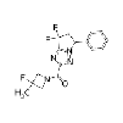 CC1(F)CN(C(=O)c2nc3n(n2)C(c2ccccc2)CC3(F)F)C1